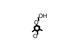 Cc1cc(OCCO)cc(C)c1C[O]